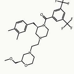 COC[C@H]1CN(CCN2CCN(C(=O)c3cc(C(F)(F)F)cc(C(F)(F)F)c3)[C@H](Cc3ccc(C)c(C)c3)C2)CCO1